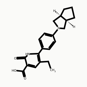 CCc1cc(C(=O)O)c(=O)[nH]c1-c1ccc(N2C[C@H]3CCC[C@H]3C2)cc1